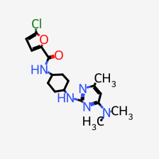 Cc1cc(N(C)C)nc(NC2CCC(NC(=O)c3ccc(Cl)o3)CC2)n1